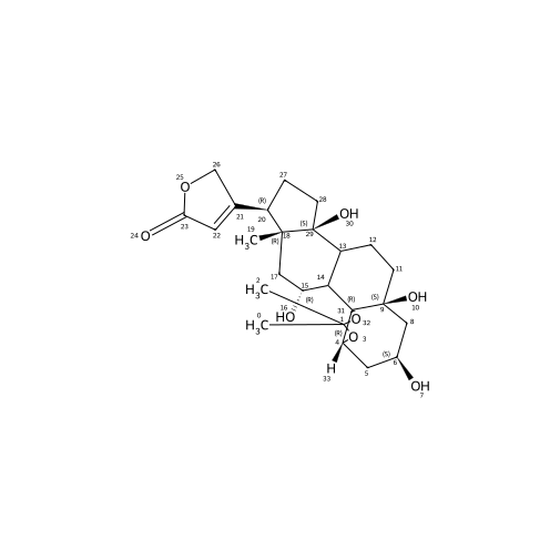 CC1(C)O[C@@H]2C[C@H](O)C[C@@]3(O)CCC4C([C@H](O)C[C@]5(C)[C@@H](C6=CC(=O)OC6)CC[C@]45O)[C@@]23O1